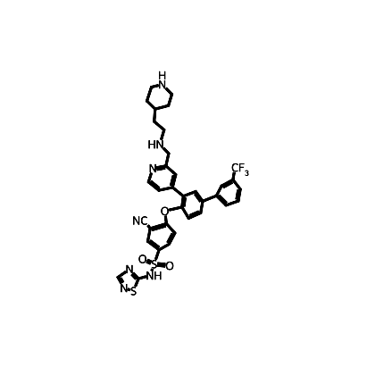 N#Cc1cc(S(=O)(=O)Nc2ncns2)ccc1Oc1ccc(-c2cccc(C(F)(F)F)c2)cc1-c1ccnc(CNCCC2CCNCC2)c1